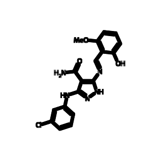 COc1cccc(O)c1/C=N/c1[nH]nc(Nc2cccc(Cl)c2)c1C(N)=O